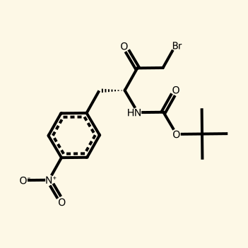 CC(C)(C)OC(=O)N[C@H](Cc1ccc([N+](=O)[O-])cc1)C(=O)CBr